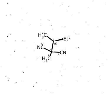 CC[C@H](C)C(C)(C#N)C#N